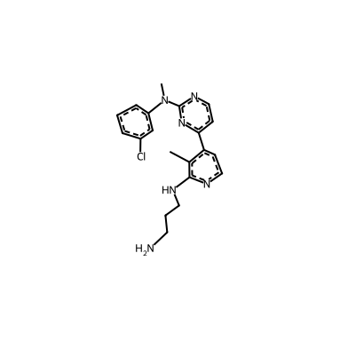 Cc1c(-c2ccnc(N(C)c3cccc(Cl)c3)n2)ccnc1NCCCN